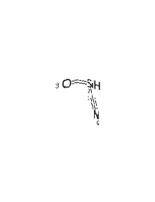 N#C[SiH]=O